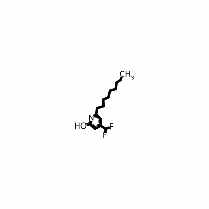 CCCCCCCCCc1cc(C(F)F)cc(O)n1